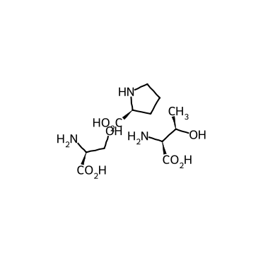 C[C@@H](O)[C@H](N)C(=O)O.N[C@@H](CO)C(=O)O.O=C(O)[C@@H]1CCCN1